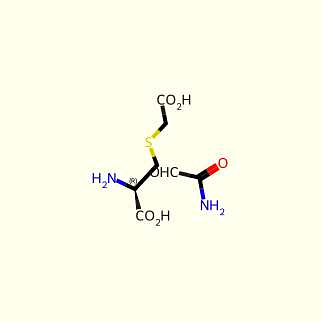 NC(=O)C=O.N[C@@H](CSCC(=O)O)C(=O)O